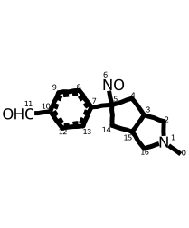 CN1CC2CC(N=O)(c3ccc(C=O)cc3)CC2C1